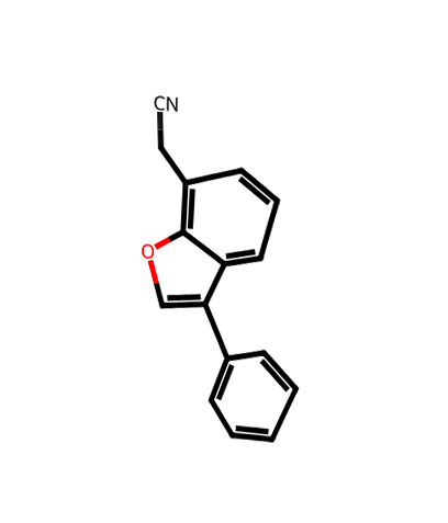 N#CCc1cccc2c(-c3ccccc3)coc12